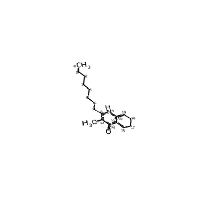 CCCCCCCCc1[nH]c2c(c(=O)c1C)=CCCC=2